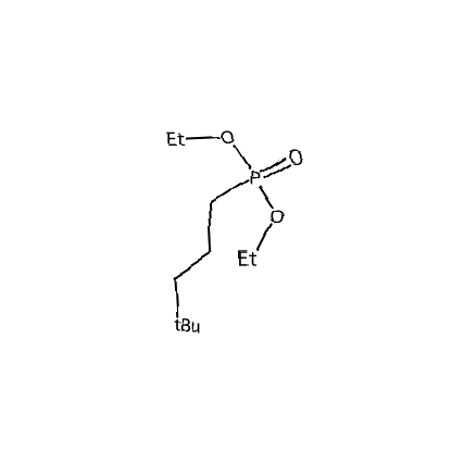 CCOP(=O)(CCCC(C)(C)C)OCC